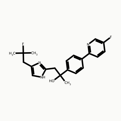 CC(C)(F)Cc1c[nH]c(CC(C)(O)c2ccc(-c3ccc(F)cn3)cc2)n1